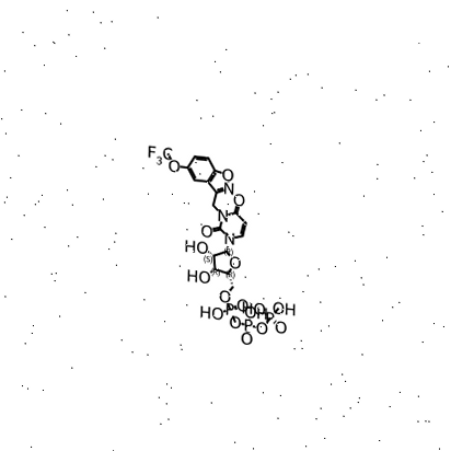 O=c1ccn([C@@H]2O[C@H](COP(=O)(O)OP(=O)(O)OP(=O)(O)O)[C@H](O)[C@@H]2O)c(=O)n1Cc1noc2ccc(OC(F)(F)F)cc12